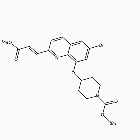 COC(=O)/C=C/c1ccc2cc(Br)cc(OC3CCN(C(=O)OC(C)(C)C)CC3)c2n1